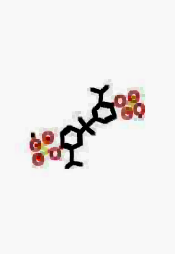 COS(=O)(=O)Oc1ccc(C(C)(C)c2ccc(OS(=O)(=O)OC)c(C(C)C)c2)cc1C(C)C